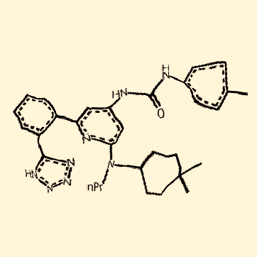 CCCN(c1cc(NC(=O)Nc2ccc(C)cc2)cc(-c2ccccc2-c2nnn[nH]2)n1)C1CCC(C)(C)CC1